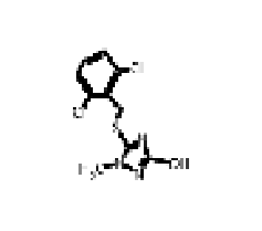 Cn1nc(O)nc1SCc1c(Cl)cccc1Cl